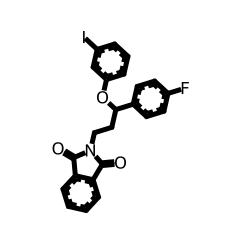 O=C1c2ccccc2C(=O)N1CCC(Oc1cccc(I)c1)c1ccc(F)cc1